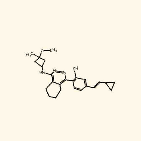 COC1(C)CC(Nc2nnc(-c3ccc(/C=C/C4CC4)cc3O)c3c2CCCC3)C1